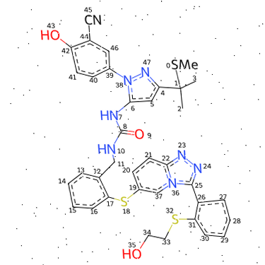 CSC(C)(C)c1cc(NC(=O)NCc2ccccc2Sc2ccc3nnc(-c4ccccc4SCCO)n3c2)n(-c2ccc(O)c(C#N)c2)n1